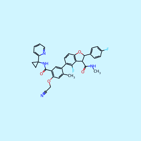 CNC(=O)C1c2c(ccc(-c3cc(C(=O)NC4(c5ccccn5)CC4)c(OCC#N)cc3C)c2F)OC1c1ccc(F)cc1